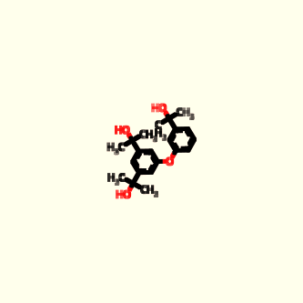 CC(C)(O)c1cccc(Oc2cc(C(C)(C)O)cc(C(C)(C)O)c2)c1